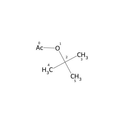 [CH]C(=O)OC(C)(C)C